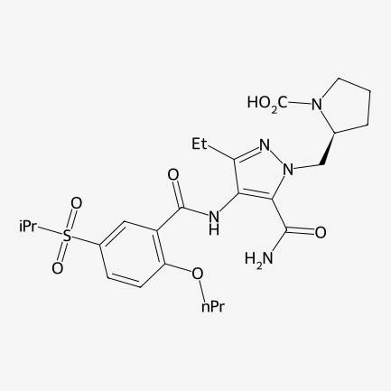 CCCOc1ccc(S(=O)(=O)C(C)C)cc1C(=O)Nc1c(CC)nn(C[C@@H]2CCCN2C(=O)O)c1C(N)=O